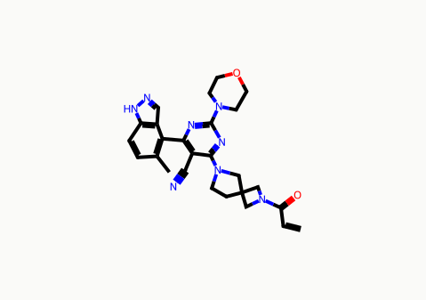 C=CC(=O)N1CC2(CCN(c3nc(N4CCOCC4)nc(-c4c(C)ccc5[nH]ncc45)c3C#N)C2)C1